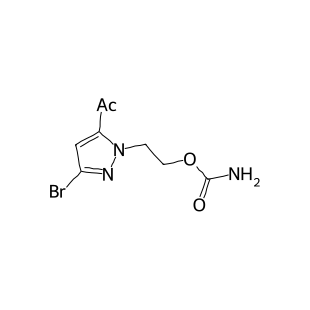 CC(=O)c1cc(Br)nn1CCOC(N)=O